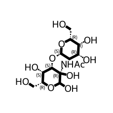 CC(=O)N[C@]1(O)C(O)O[C@H](CO)[C@H](O)[C@@H]1O[C@H]1C[C@@H](O)[C@@H](O)[C@@H](CO)O1